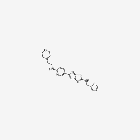 c1csc(CNc2nn3cc(-c4ccc(NCCN5CCOCC5)nc4)nc3s2)c1